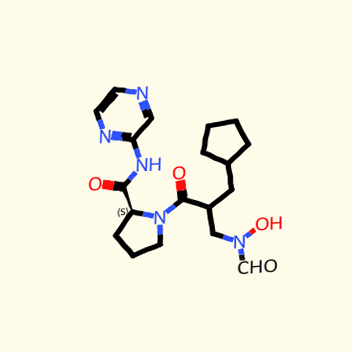 O=CN(O)CC(CC1CCCC1)C(=O)N1CCC[C@H]1C(=O)Nc1cnccn1